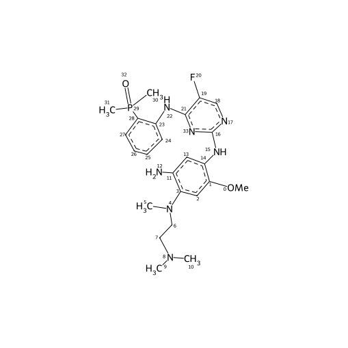 COc1cc(N(C)CCN(C)C)c(N)cc1Nc1ncc(F)c(Nc2ccccc2P(C)(C)=O)n1